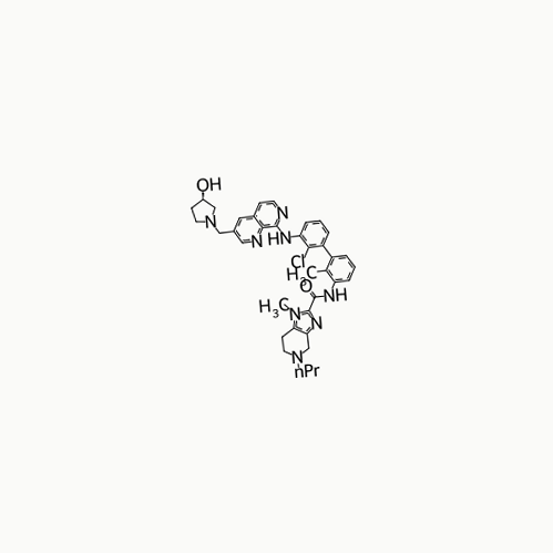 CCCN1CCc2c(nc(C(=O)Nc3cccc(-c4cccc(Nc5nccc6cc(CN7CC[C@@H](O)C7)cnc56)c4Cl)c3C)n2C)C1